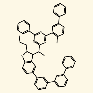 CCCC1Sc2ccc(-c3cccc(-c4cccc(-c5ccccc5)c4)c3)cc2C1C(C)c1nc(-c2ccccc2)nc(-c2cc(-c3ccccc3)ccc2C)n1